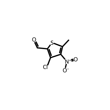 Cc1sc(C=O)c(Cl)c1[N+](=O)[O-]